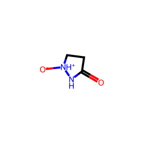 O=C1CC[NH+]([O-])N1